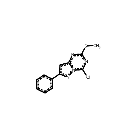 CSc1nc(Cl)n2nc(-c3ccccc3)cc2n1